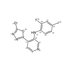 [CH2]Cc1nnc(-c2ccncc2Nc2ccc(I)cc2F)o1